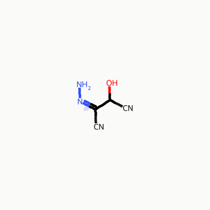 N#C/C(=N/N)C(O)C#N